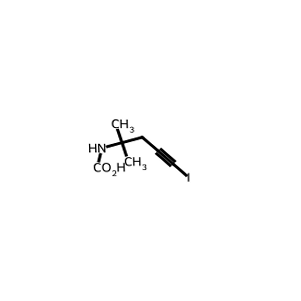 CC(C)(CC#CI)NC(=O)O